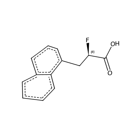 O=C(O)[C@H](F)Cc1cccc2ccccc12